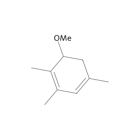 COC1CC(C)=CC(C)=C1C